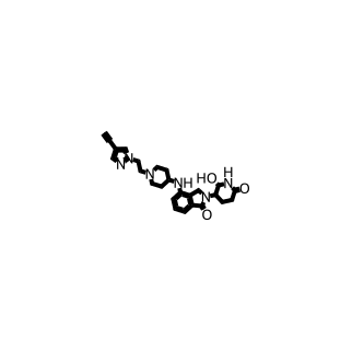 C#Cc1cnn(CCN2CCC(Nc3cccc4c3CN(C3CCC(=O)NC3O)C4=O)CC2)c1